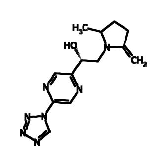 C=C1CCC(C)N1C[C@@H](O)c1cnc(-n2cnnn2)cn1